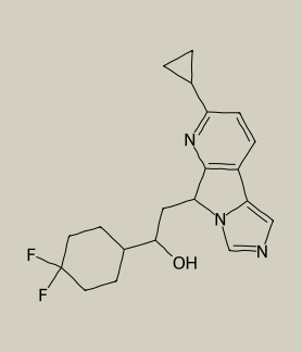 OC(CC1c2nc(C3CC3)ccc2-c2cncn21)C1CCC(F)(F)CC1